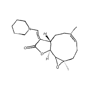 C/C1=C/CC[C@@]2(C)OC2[C@H]2OC(=O)/C(=C\N3CCCCC3)[C@@H]2CC1